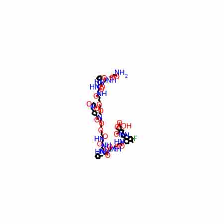 Cc1c(F)cc2nc3c(c4c2c1CC[C@@H]4NC(=O)COCNC(=O)CNC(=O)[C@H](Cc1ccccc1)NC(=O)CNC(=O)CNC(=O)CCOCCOCCN(CCOCCOCCCC(=O)NCC(=O)N[C@@H](Cc1ccccc1)C(=O)NCC(=O)NCOCC(N)=O)C(=O)C1CCC(CN2C(=O)C=CC2=O)CC1)Cn1c-3cc2c(c1=O)COC(=O)[C@H]2O